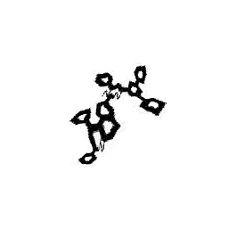 c1ccc(-c2cc(-c3ccccc3)cc(-c3cc(-c4ccccc4)nc(-c4ccc5c(ccc6nc(-c7ccccc7)cc(-c7ccccc7)c65)c4)n3)c2)cc1